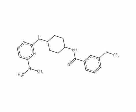 CN(C)c1ccnc(NC2CCC(NC(=O)c3cccc(OC(F)(F)F)c3)CC2)n1